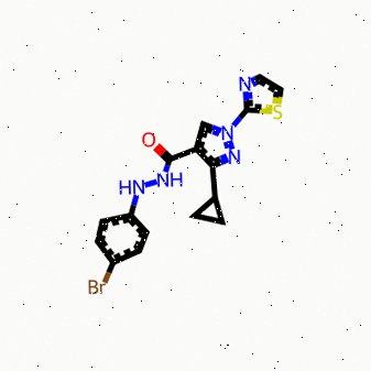 O=C(NNc1ccc(Br)cc1)c1cn(-c2nccs2)nc1C1CC1